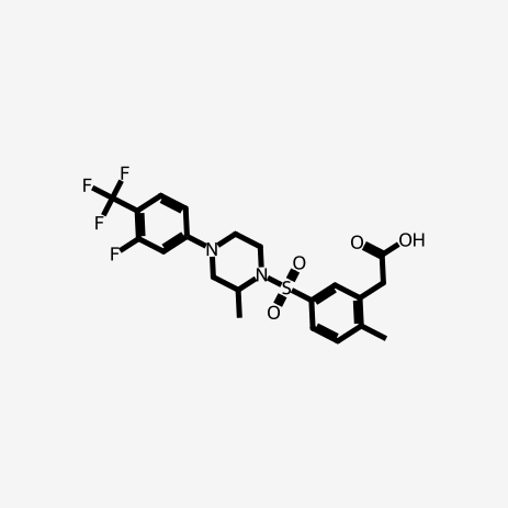 Cc1ccc(S(=O)(=O)N2CCN(c3ccc(C(F)(F)F)c(F)c3)CC2C)cc1CC(=O)O